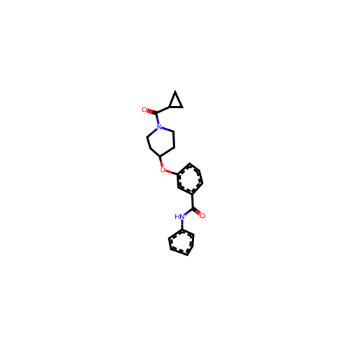 O=C(Nc1ccccc1)c1cccc(OC2CCN(C(=O)C3CC3)CC2)c1